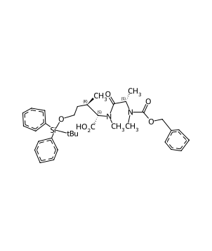 C[C@H](CCO[Si](c1ccccc1)(c1ccccc1)C(C)(C)C)[C@@H](C(=O)O)N(C)C(=O)[C@H](C)N(C)C(=O)OCc1ccccc1